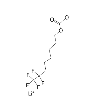 O=C([O-])OCCCCCCC(F)(F)C(F)(F)F.[Li+]